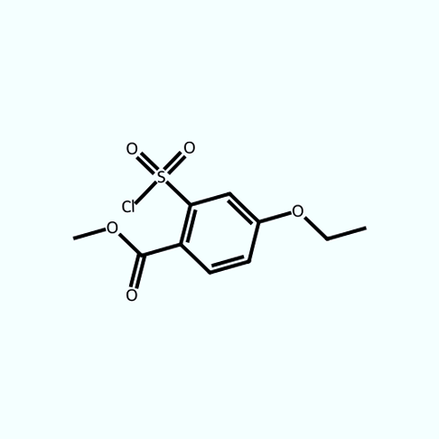 CCOc1ccc(C(=O)OC)c(S(=O)(=O)Cl)c1